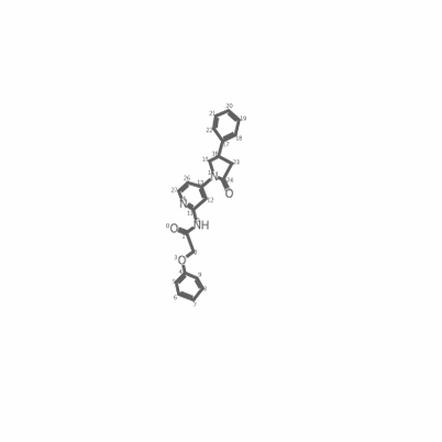 O=C(COc1ccccc1)Nc1cc(N2CC(c3ccccc3)CC2=O)ccn1